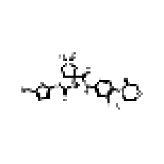 Cc1cc(NC(=O)C2(NC(=O)Oc3ccc(Br)s3)CCS(=O)(=O)C2)ccc1N1CCOCC1=O